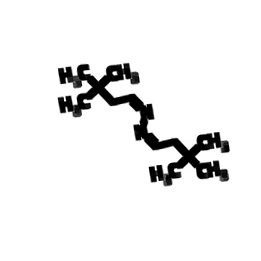 CC(C)(C)C/C=N\N=C/CC(C)(C)C